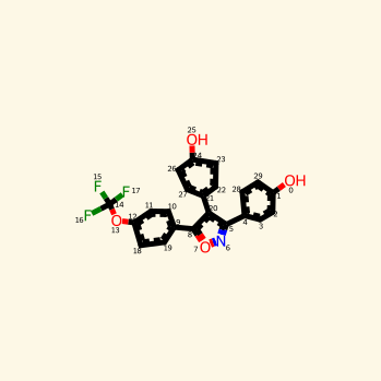 Oc1ccc(-c2noc(-c3ccc(OC(F)(F)F)cc3)c2-c2ccc(O)cc2)cc1